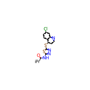 CC(C)C(=O)Nc1nnc(Sc2ccnc3cc(Cl)ccc23)s1